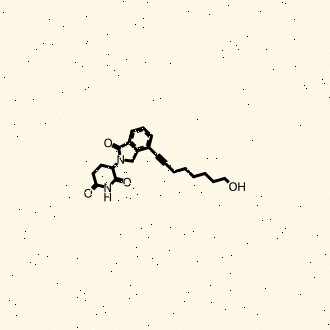 O=C1CCC(N2Cc3c(C#CCCCCCCO)cccc3C2=O)C(=O)N1